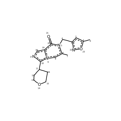 Cc1cc(Cn2c(C)cn3c(C4CCOCC4)ncc3c2=O)no1